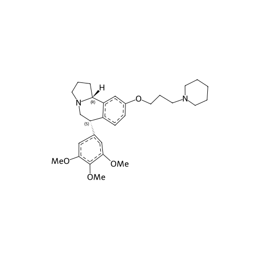 COc1cc([C@@H]2CN3CCC[C@@H]3c3cc(OCCCN4CCCCC4)ccc32)cc(OC)c1OC